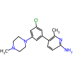 Cc1nc(N)ccc1-c1cc(Cl)cc(N2CCN(C)CC2)c1